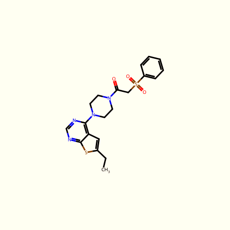 CCc1cc2c(N3CCN(C(=O)CS(=O)(=O)c4ccccc4)CC3)ncnc2s1